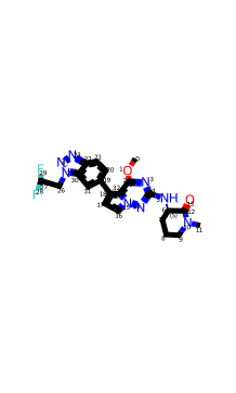 COc1nc(N[C@H]2CCCN(C)C2=O)nn2ccc(-c3ccc4nnn(CC(F)F)c4c3)c12